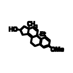 CC[C@@]12C=C[C@]3(C)C[C@H](O)CC3=C1CCc1cc(OC)ccc12